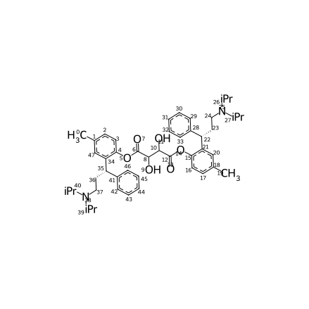 Cc1ccc(OC(=O)C(O)C(O)C(=O)Oc2ccc(C)cc2[C@@H](CCN(C(C)C)C(C)C)c2ccccc2)c([C@@H](CCN(C(C)C)C(C)C)c2ccccc2)c1